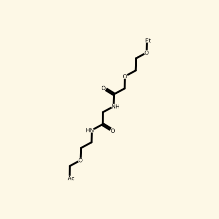 CCOCCOCC(=O)NCC(=O)NCCOCC(C)=O